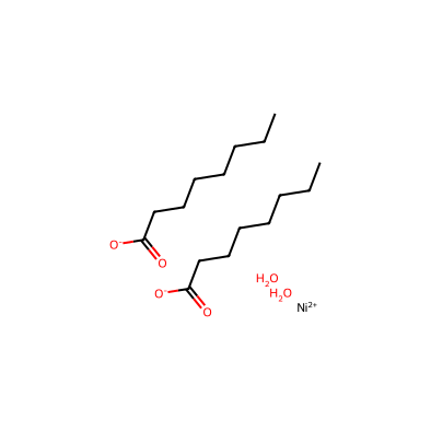 CCCCCCCC(=O)[O-].CCCCCCCC(=O)[O-].O.O.[Ni+2]